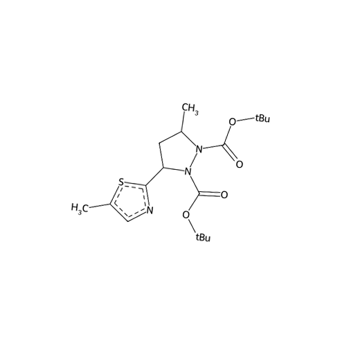 Cc1cnc(C2CC(C)N(C(=O)OC(C)(C)C)N2C(=O)OC(C)(C)C)s1